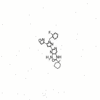 CC1(C(=O)Nc2cnc(-c3cc(-c4ccon4)n(Cc4ccccc4F)n3)nc2N)CCCCC1